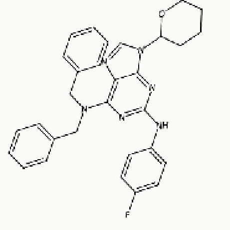 Fc1ccc(Nc2nc(N(Cc3ccccc3)Cc3ccccc3)c3ncn(C4CCCCO4)c3n2)cc1